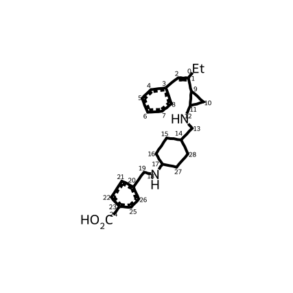 CCC(=Cc1ccccc1)C1CC1NCC1CCC(NCc2ccc(C(=O)O)cc2)CC1